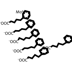 O=C([O-])CCCCc1ccccc1.O=C([O-])CCCCc1ccccc1.O=C([O-])CCCCc1ccccc1.O=C([O-])CCCCc1ccccc1.O=C([O-])CCCCc1ccccc1.O=C([O-])CCCCc1ccccc1.[Mo+6]